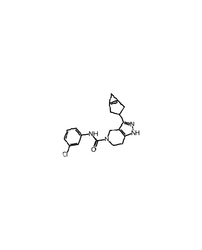 O=C(Nc1cccc(Cl)c1)N1CCc2[nH]nc(C3CC4=C(C4)C3)c2C1